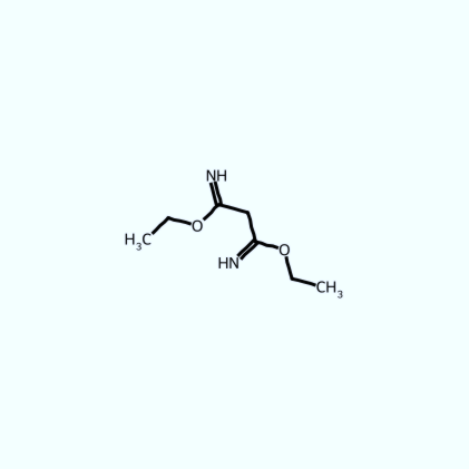 CCOC(=N)CC(=N)OCC